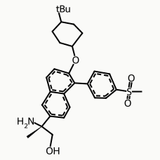 CC(C)(C)C1CCC(Oc2ccc3cc([C@@](C)(N)CO)ccc3c2-c2ccc(S(C)(=O)=O)cc2)CC1